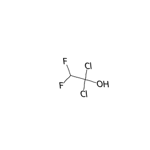 OC(Cl)(Cl)C(F)F